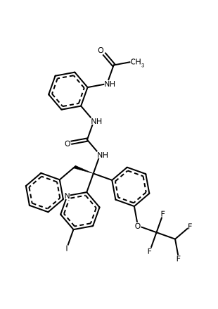 CC(=O)Nc1ccccc1NC(=O)N[C@](Cc1ccccc1)(c1cccc(OC(F)(F)C(F)F)c1)c1ccc(I)cn1